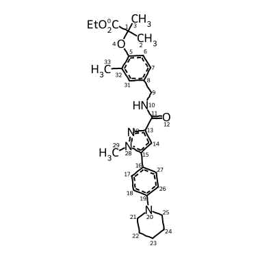 CCOC(=O)C(C)(C)Oc1ccc(CNC(=O)c2cc(-c3ccc(N4CCCCC4)cc3)n(C)n2)cc1C